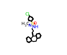 CN=S(=O)(NCCC=C1c2ccccc2CCc2ccccc21)c1ccc(Cl)cc1